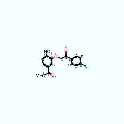 COC(=O)c1ccc([N+](=O)[O-])c(OCC(=O)c2ccc(Cl)cc2)c1